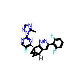 Cc1ncnn1-c1ncc(F)c([C@@]23CC[C@@H](c4cc(-c5c(F)cccc5F)nnc42)C3(C)C)n1